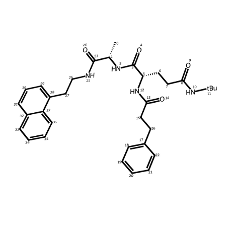 C[C@H](NC(=O)[C@H](CCC(=O)NC(C)(C)C)NC(=O)CCc1ccccc1)C(=O)NCCc1cccc2ccccc12